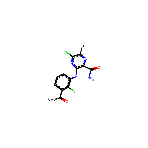 CCc1nc(C(N)=O)c(Nc2cccc(C(=O)NC)c2Cl)nc1Cl